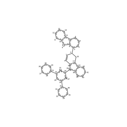 C1=CC(c2cccc3c2oc2ccccc23)Cc2c1n(-c1nc(-c3ccccc3)cc(-c3ccccc3)n1)c1ccccc21